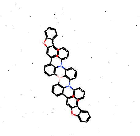 c1ccc(N2c3cccc4c3B(c3cccc(-c5ccc6c(c5)oc5ccccc56)c32)c2cccc(-c3ccc5c(c3)oc3ccccc35)c2N4c2ccccc2)cc1